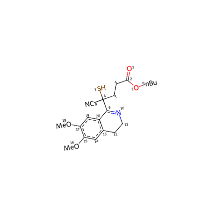 CCCCOC(=O)CCC(S)(C#N)C1=NCCc2cc(OC)c(OC)cc21